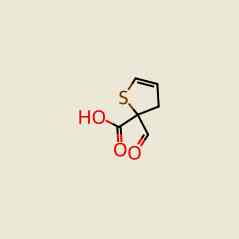 O=CC1(C(=O)O)CC=CS1